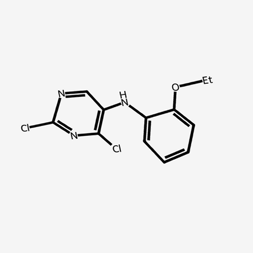 CCOc1ccccc1Nc1cnc(Cl)nc1Cl